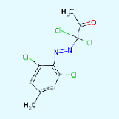 CC(=O)C(Cl)(Cl)N=Nc1c(Cl)cc(C)cc1Cl